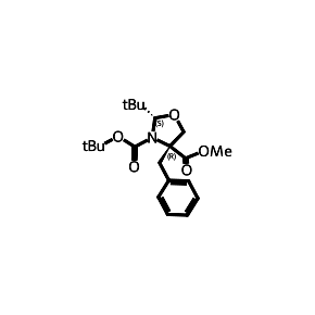 COC(=O)[C@@]1(Cc2ccccc2)CO[C@@H](C(C)(C)C)N1C(=O)OC(C)(C)C